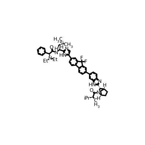 CCN(CC)[C@H](C(=O)N[C@@H](C[SiH](C)C)c1ncc(-c2ccc3c(c2)C(F)(F)c2cc(-c4ccc5nc([C@@H]6[C@H]7CC[C@H](C7)N6C(=O)[C@@H](C)C(C)C)[nH]c5c4)ccc2-3)[nH]1)c1ccccc1